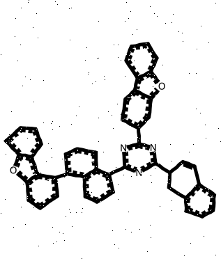 C1=CC(c2nc(-c3ccc4c(c3)oc3ccccc34)nc(-c3cccc4c(-c5cccc6oc7ccccc7c56)cccc34)n2)Cc2ccccc21